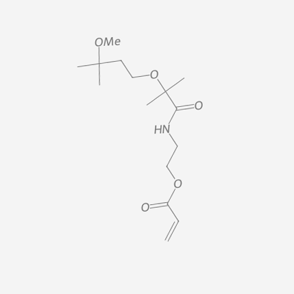 C=CC(=O)OCCNC(=O)C(C)(C)OCCC(C)(C)OC